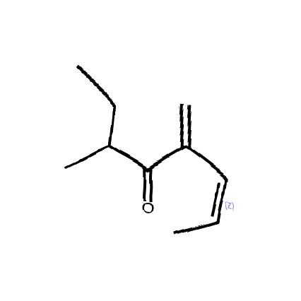 C=C(/C=C\C)C(=O)C(C)CC